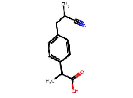 CC(C#N)Cc1ccc(C(C)C(=O)O)cc1